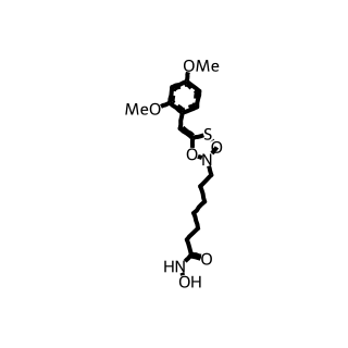 COc1ccc(/C=C2/ON(CCCCCCC(=O)NO)OS2)c(OC)c1